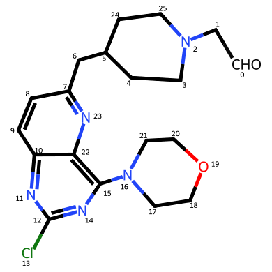 O=CCN1CCC(Cc2ccc3nc(Cl)nc(N4CCOCC4)c3n2)CC1